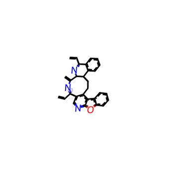 C=CC1=NC2C(=C)/N=C(/C=C)c3cnc4oc5ccccc5c4c3CCC2c2ccccc21